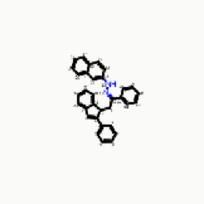 C1=C(c2ccccc2)C(CC(=NNc2ccc3ccccc3c2)c2ccccc2)c2ccccc21